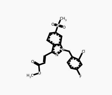 COC(=O)/C=C/c1nn(Cc2ccc(F)cc2Cl)c2cc(S(C)(=O)=O)ccc12